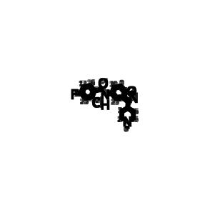 CN1CCC(c2noc3ccc(NC(=O)c4ccc(F)cc4Cl)cc23)CC1